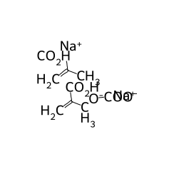 C=C(C)C(=O)O.C=C(C)C(=O)O.O=C([O-])[O-].[Na+].[Na+]